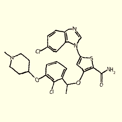 CC(Oc1cc(-n2cnc3ccc(Cl)cc32)sc1C(N)=O)c1cccc(OC2CCN(C)CC2)c1Cl